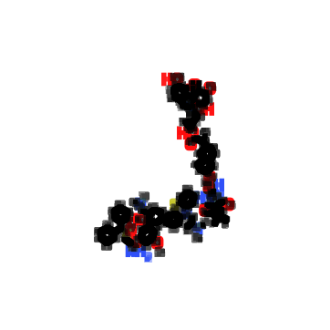 C=CCC1(C(C)CC)C(=O)NC(=O)NC1=O.CC(CN1c2ccccc2Sc2ccccc21)N(C)C.COc1ccc2cc([C@H](C)C(=O)O)ccc2c1.COc1cccc([C@@]2(O)CCCC[C@@H]2CN(C)C)c1.NC(=O)C[S+]([O-])C(c1ccccc1)c1ccccc1.O=C1CC[C@@]2(O)[C@H]3Cc4ccc(O)c5c4[C@@]2(CCN3CC2CC2)[C@H]1O5